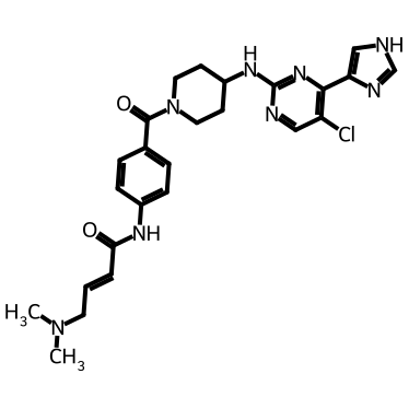 CN(C)CC=CC(=O)Nc1ccc(C(=O)N2CCC(Nc3ncc(Cl)c(-c4c[nH]cn4)n3)CC2)cc1